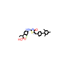 CCC(C(=O)O)c1ccc(NC2=NC(=O)/C(=C\c3ccc(-c4c(C)cc(C)cc4C)cc3)S2)cc1F